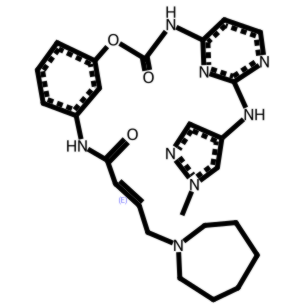 Cn1cc(Nc2nccc(NC(=O)Oc3cccc(NC(=O)/C=C/CN4CCCCCC4)c3)n2)cn1